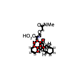 CNC(=O)CO/N=C(\C(=O)O)c1nc2ccccc2n([C@H]2C[C@H]3CCC[C@@H](C2)N3[C@H]2C[C@@H]3CCC[C@@H](C3)C2)c1=O